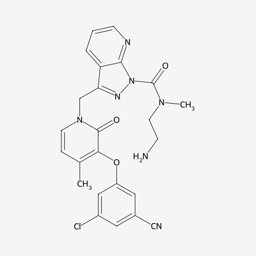 Cc1ccn(Cc2nn(C(=O)N(C)CCN)c3ncccc23)c(=O)c1Oc1cc(Cl)cc(C#N)c1